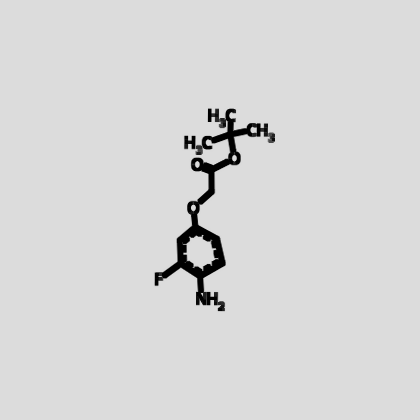 CC(C)(C)OC(=O)COc1ccc(N)c(F)c1